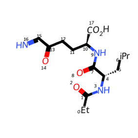 CCC(=O)N[C@@H](CC(C)C)C(=O)N[C@@H](CCC(=O)C=N)C(=O)O